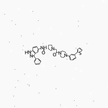 O=C(Nc1ccc2[nH]nc(-c3ccccc3)c2c1)[C@@H]1CCN(CC(=O)N2CCN(c3cccc(-c4cccs4)c3)CC2)C1